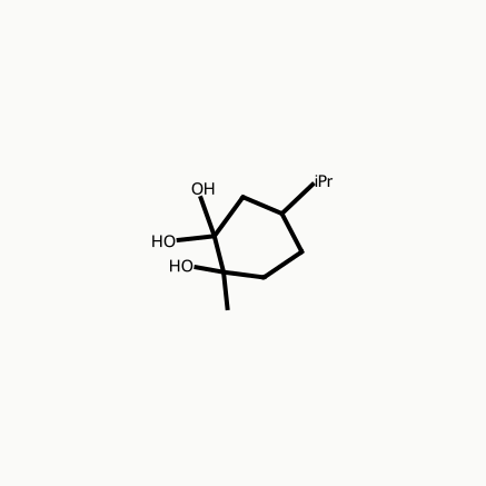 CC(C)C1CCC(C)(O)C(O)(O)C1